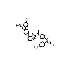 CN1CCC(N(C)C(=O)c2ccc(Nc3nc4c(N5CCC(CCO)(c6ccc(Cl)cc6)CC5)cccn4n3)cc2)CC1